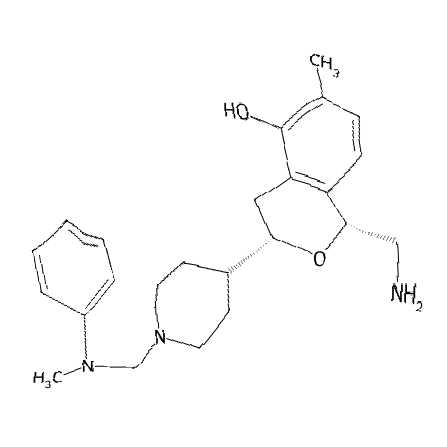 Cc1ccc2c(c1O)C[C@@H](C1CCN(CN(C)c3ccccc3)CC1)O[C@H]2CN